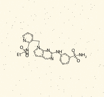 CCS(=O)(=O)Nc1ncccc1Cn1ccc2cnc(Nc3cccc(S(N)(=O)=O)c3)nc21